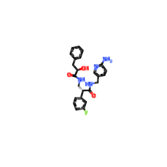 Nc1ccc(CNC(=O)[C@@H](CNC(=O)[C@H](O)Cc2ccccc2)c2cccc(F)c2)cn1